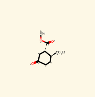 CCOC(=O)[C@H]1CCC(=O)C[C@@H]1C(=O)OC(C)(C)C